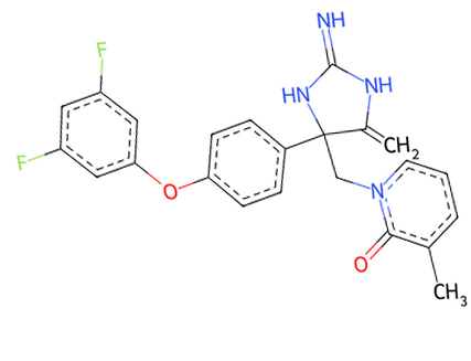 C=C1NC(=N)NC1(Cn1cccc(C)c1=O)c1ccc(Oc2cc(F)cc(F)c2)cc1